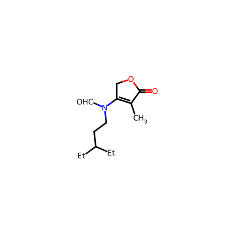 CCC(CC)CCN(C=O)C1=C(C)C(=O)OC1